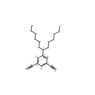 CCCCCCC(CCCCCC)c1nc(C#N)nc(C#N)n1